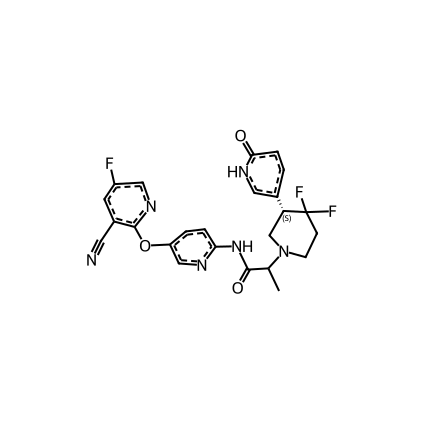 CC(C(=O)Nc1ccc(Oc2ncc(F)cc2C#N)cn1)N1CCC(F)(F)[C@@H](c2ccc(=O)[nH]c2)C1